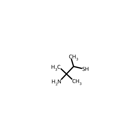 CC(S)C(C)(C)N